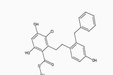 COC(=O)c1c(O)cc(O)c(Cl)c1CCc1ccc(O)cc1Cc1ccccc1